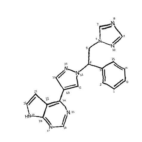 c1ccc(C(Cn2cncn2)n2cc(-c3ncnc4[nH]ccc34)cn2)cc1